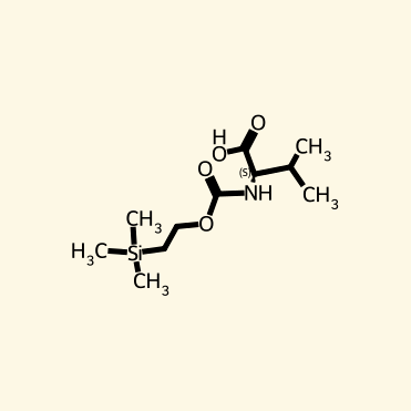 CC(C)[C@H](NC(=O)OCC[Si](C)(C)C)C(=O)O